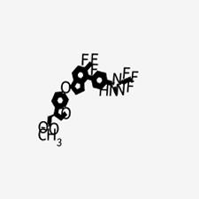 COC(=O)C[C@@H]1COc2cc(O[C@@H]3CCc4c3ccc(C(F)(F)F)c4-c3ccc(-c4nc(C(F)(F)F)n[nH]4)cc3)ccc21